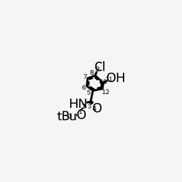 CC(C)(C)ONC(=O)c1ccc(Cl)c(O)c1